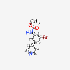 COC(=O)Nc1cc(Br)cc(-c2ccncc2)c1